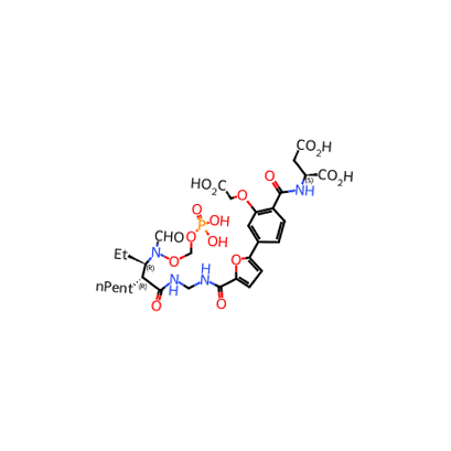 CCCCC[C@@H](C(=O)NCNC(=O)c1ccc(-c2ccc(C(=O)N[C@@H](CC(=O)O)C(=O)O)c(OCC(=O)O)c2)o1)[C@@H](CC)N(C=O)OCOP(=O)(O)O